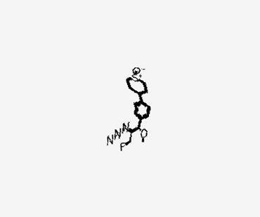 CO[C@H](c1ccc(C2CC[S+]([O-])CC2)cc1)[C@@H](CF)N=[N+]=[N-]